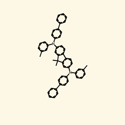 Cc1cccc(N(c2ccc(-c3ccccc3)cc2)c2ccc3c(c2)C(C)(C)c2cc(N(c4ccc(-c5ccccc5)cc4)c4cccc(C)c4)ccc2-3)c1